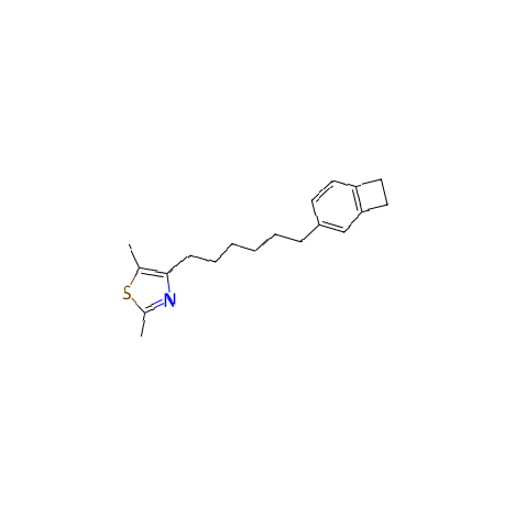 Cc1nc(CCCCCCc2ccc3c(c2)CC3)c(C)s1